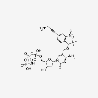 CC(C)(C)[C@@H](OCc1cn([C@H]2C[C@@H](O)[C@@H](COP(=O)(O)OP(=O)(O)OP(=O)(O)O)O2)c(=O)nc1N)c1ccc(C#CCN)cc1[N+](=O)[O-]